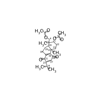 CC(=O)OCC1(C)C(OC(C)=O)CCC2(C)C3=C(CCC21)C(=O)C(C(C)C)=CC3=O